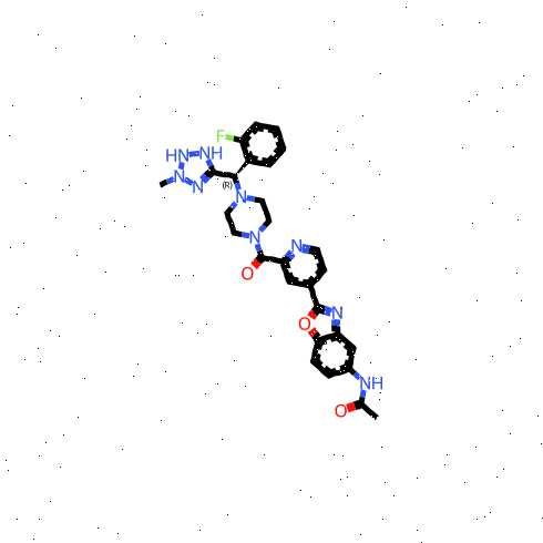 CC(=O)Nc1ccc2oc(-c3ccnc(C(=O)N4CCN([C@@H](C5=NN(C)NN5)c5ccccc5F)CC4)c3)nc2c1